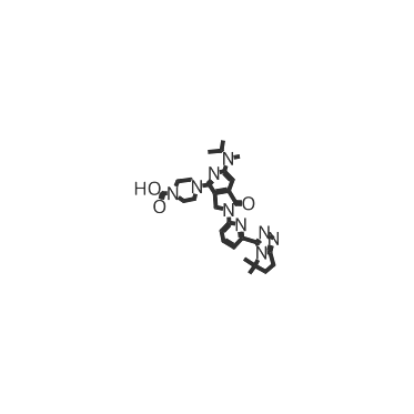 CC(C)N(C)c1cc2c(c(N3CCN(C(=O)O)CC3)n1)CN(c1cccc(-c3nnc4n3C(C)(C)CC4)n1)C2=O